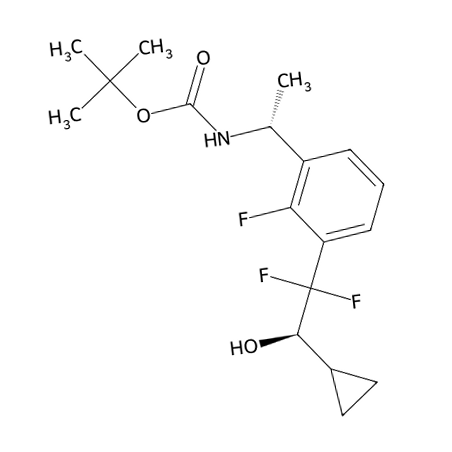 C[C@@H](NC(=O)OC(C)(C)C)c1cccc(C(F)(F)[C@H](O)C2CC2)c1F